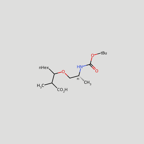 CCCCCCC(OC[C@@H](C)NC(=O)OC(C)(C)C)C(C)C(=O)O